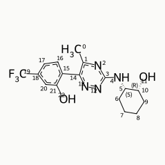 Cc1nc(N[C@H]2CCCC[C@H]2O)nnc1-c1ccc(C(F)(F)F)cc1O